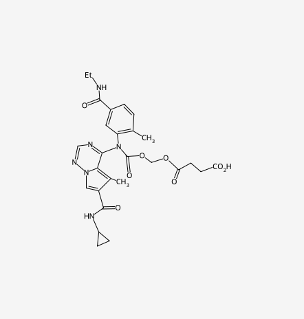 CCNC(=O)c1ccc(C)c(N(C(=O)OCOC(=O)CCC(=O)O)c2ncnn3cc(C(=O)NC4CC4)c(C)c23)c1